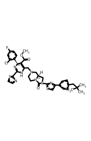 COC(=O)C1=C(CN2CCN3C(=O)N(c4nc(-c5ccc(CC(C)(C)C)cc5)cs4)C[C@@H]3C2)NC(c2nccs2)=N[C@H]1c1ccc(F)cc1Cl